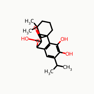 CC(C)c1cc2c(c(O)c1O)C13CCCC(C)(C)C1C(O)C2OC3=O